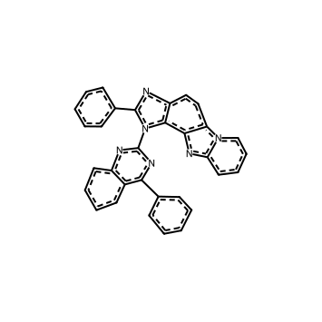 c1ccc(-c2nc(-n3c(-c4ccccc4)nc4ccc5c(nc6ccccn65)c43)nc3ccccc23)cc1